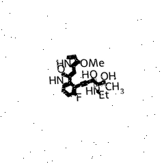 CCN[C@H]([C@H](O)C#Cc1c(F)ccc2c1C(=Cc1[nH]ccc1OC)C(=O)N2)[C@@H](C)O